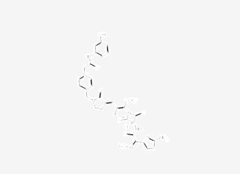 Nc1nc(/C(=N/O)C(=O)N[C@@H]2C(=O)N3C(C(=O)[O-])=C(/C=C4\CCN(Cc5cc[n+](CC(=O)Nc6cccc(O)c6)cc5)C4=O)CS[C@H]23)cs1